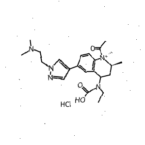 CCN(C(=O)O)C1C[C@H](C)[N@+](C)(C(C)=O)c2ccc(-c3cnn(CCN(C)C)c3)cc21.Cl